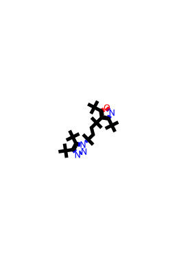 CC(C)(C)c1noc(C(C)(C)C)c1C(C)(C)CCC(C)(C)n1nnc(C(C)(C)C)c1C(C)(C)C